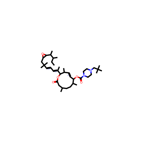 CCC(C)C(C)C1OC1CC(C)(C)/C=C/C=C(\C)C1OC(=O)CC(C)CCC(C)C(OC(=O)N2CCN(CC(C)(C)C)CC2)/C=C/C1C